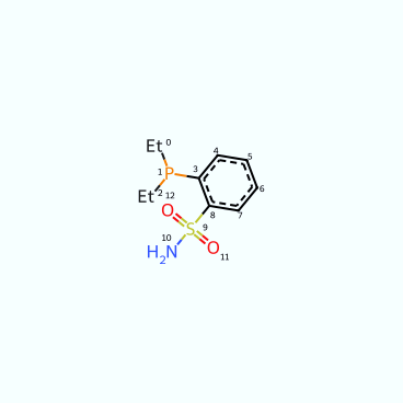 CCP(CC)c1ccccc1S(N)(=O)=O